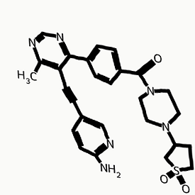 Cc1ncnc(-c2ccc(C(=O)N3CCN(C4CCS(=O)(=O)C4)CC3)cc2)c1C#Cc1ccc(N)nc1